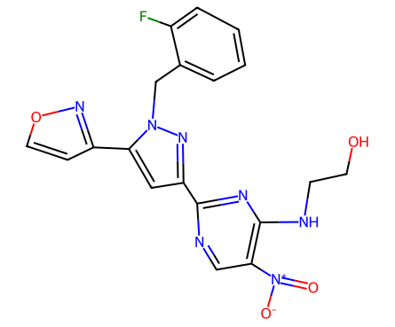 O=[N+]([O-])c1cnc(-c2cc(-c3ccon3)n(Cc3ccccc3F)n2)nc1NCCO